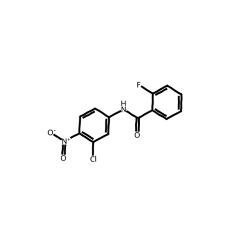 O=C(Nc1ccc([N+](=O)[O-])c(Cl)c1)c1ccccc1F